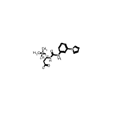 C[N+](C)(C)C[C@@H](CC(=O)[O-])NC(=O)Nc1cccc(-n2cccc2)c1